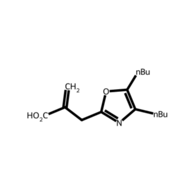 C=C(Cc1nc(CCCC)c(CCCC)o1)C(=O)O